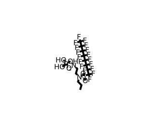 CCCN(CCN)S(=O)(=O)C(F)(F)C(F)(F)C(F)(F)C(F)(F)C(F)(F)C(F)(F)C(F)(F)C(F)(F)F.O=P(O)(O)O